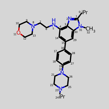 CC(C)c1nc2c(NCCN3CCOCC3)cc(-c3ccc(N4CCN(C(C)C)CC4)cc3)cc2n1C